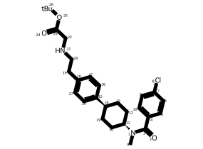 CN(C(=O)c1ccc(Cl)cc1)[C@H]1CC[C@H](c2ccc(CCNCC(=O)OC(C)(C)C)cc2)CC1